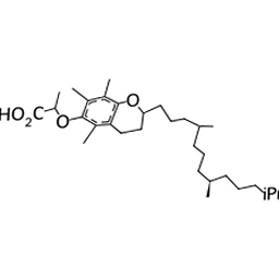 Cc1c(C)c2c(c(C)c1OC(C)C(=O)O)CCC(CCCC(C)CCC[C@H](C)CCCC(C)C)O2